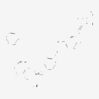 CCC[C@H](NC(=O)C(CC)NC(=O)OCc1ccccc1)C(=O)Nc1ccc(COc2ccc(C#C[Si](C)(C)C)cc2CF)cc1